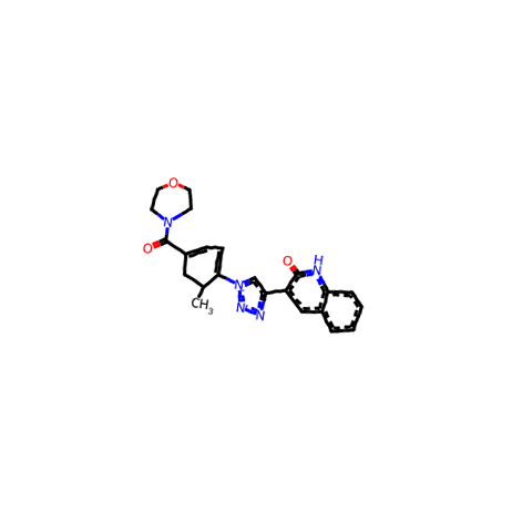 CC1CC(C(=O)N2CCOCC2)=CC=C1n1cc(-c2cc3ccccc3[nH]c2=O)nn1